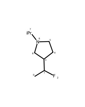 CC(F)C1CCN(C(C)C)C1